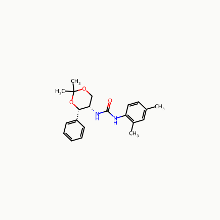 Cc1ccc(NC(=O)N[C@H]2COC(C)(C)O[C@H]2c2ccccc2)c(C)c1